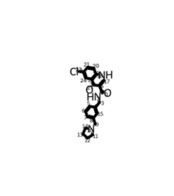 O=C(NCc1cccc(CN2CCCC2)c1)c1c[nH]c2ccc(Cl)cc2c1=O